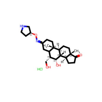 C[C@]12CCC(=NO[C@H]3CCNC3)CC1[C@@H](CO)[C@@H](O)[C@@H]1[C@@H]2CC[C@]2(C)C(=O)CC[C@@H]12.Cl